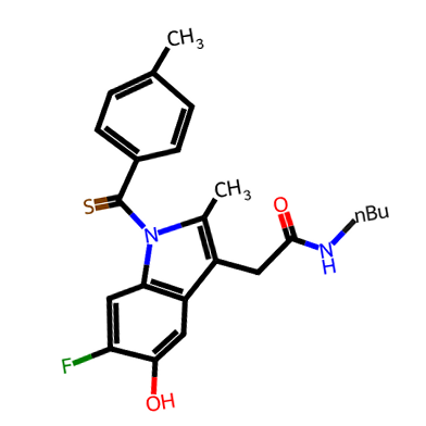 CCCCNC(=O)Cc1c(C)n(C(=S)c2ccc(C)cc2)c2cc(F)c(O)cc12